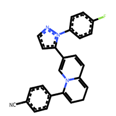 N#Cc1ccc(C2=CCC=C3C=CC(c4ccnn4-c4ccc(F)cc4)=CN32)cc1